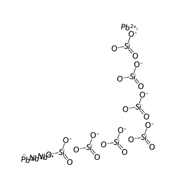 O=[Si]([O-])[O-].O=[Si]([O-])[O-].O=[Si]([O-])[O-].O=[Si]([O-])[O-].O=[Si]([O-])[O-].O=[Si]([O-])[O-].O=[Si]([O-])[O-].[Nb+5].[Nb+5].[Pb+2].[Pb+2]